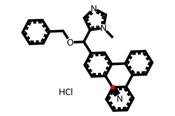 Cl.Cn1cncc1C(OCc1ccccc1)c1ccc(C#N)c(-c2ccccc2-c2ccccc2)c1